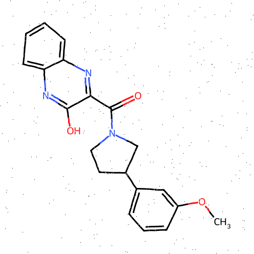 COc1cccc(C2CCN(C(=O)c3nc4ccccc4nc3O)C2)c1